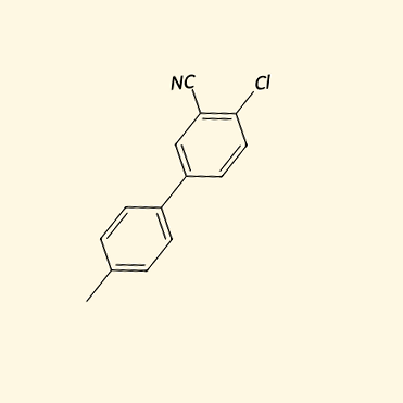 Cc1ccc(-c2ccc(Cl)c(C#N)c2)cc1